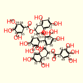 O=C(OC1Cc2c(O)cc(O)cc2O[C@@H]1c1cc(O)c(O)c(O)c1-c1c([C@H]2Oc3cc(O)cc(O)c3C[C@H]2OC(=O)c2cc(O)c(O)c(O)c2)cc(O)c(O)c1O)c1cc(O)c(O)c(O)c1